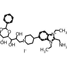 CCn1c(CN)[n+](CC)c2ccc(C3CCN(CC(O)C(O)[C@@H]4OC(c5ccccc5)OC[C@H]4O)CC3)cc21.[I-]